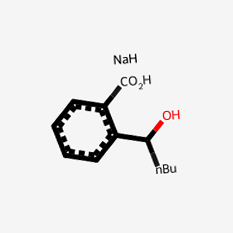 CCCCC(O)c1ccccc1C(=O)O.[NaH]